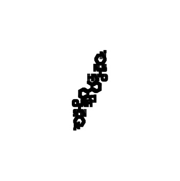 Cc1c(NC(=O)c2nc3c(s2)CN(C)CC3)cccc1-c1cccc(NC(=O)c2nc3c(s2)CN(C)CC3)c1Cl